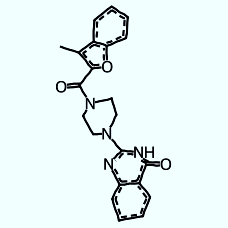 Cc1c(C(=O)N2CCN(c3nc4ccccc4c(=O)[nH]3)CC2)oc2ccccc12